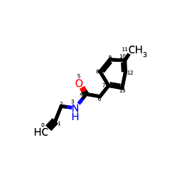 C#CCNC(=O)Cc1ccc(C)cc1